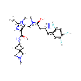 CN1CC2(CC(NC(=O)c3nc(C(F)(F)F)n4c3CN(C(=O)C[C@H](N)Cc3cc(F)c(F)cc3F)CC4)C2)C1